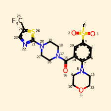 CS(=O)(=O)c1ccc(N2CCOCC2)c(C(=O)N2CCN(c3ncc(C(F)(F)F)s3)CC2)c1